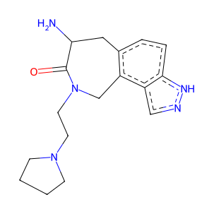 NC1Cc2ccc3[nH]ncc3c2CN(CCN2CCCC2)C1=O